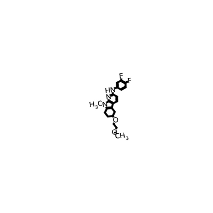 COCCOC1CCc2c(c3ccc(Nc4ccc(F)c(F)c4)nc3n2C)C1